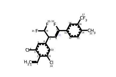 C=Cc1c(Cl)cc(C(/C=C(\F)c2ccc(C)c(C(F)(F)F)c2)C(F)F)cc1Cl